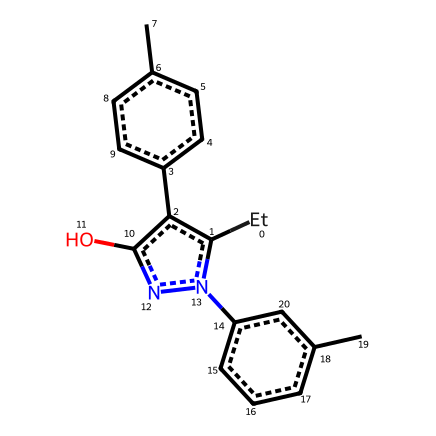 CCc1c(-c2ccc(C)cc2)c(O)nn1-c1cccc(C)c1